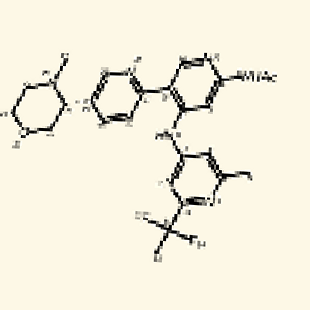 CC(=O)Nc1cc(Nc2cc(C)nc(C(C)(F)F)n2)c(-c2ccc([C@@H]3COCCN3C)cn2)cn1